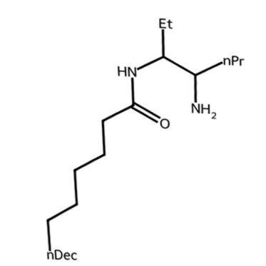 CCCCCCCCCCCCCCCC(=O)NC(CC)C(N)CCC